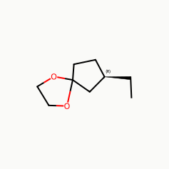 CC[C@@H]1CCC2(C1)OCCO2